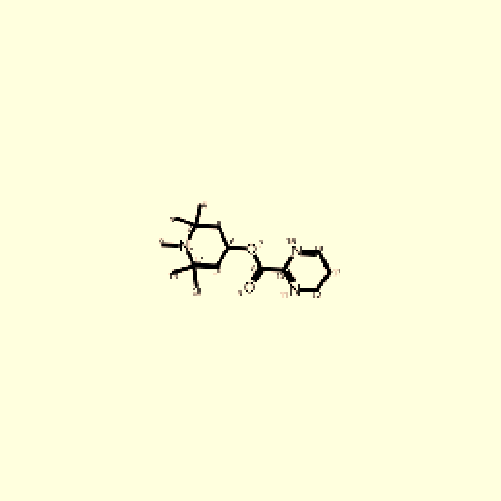 CN1C(C)(C)CC(OC(=O)C2=NCCC=N2)CC1(C)C